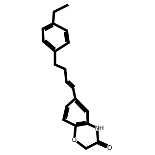 CCc1ccc(CC/C=C/c2ccc3c(c2)NC(=O)CO3)cc1